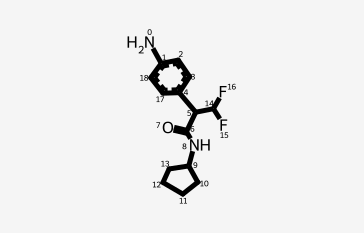 Nc1ccc(C(C(=O)NC2CCCC2)C(F)F)cc1